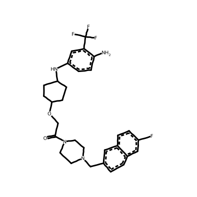 Nc1ccc(NC2CCC(OCC(=O)N3CCN(Cc4ccc5cc(F)ccc5c4)CC3)CC2)cc1C(F)(F)F